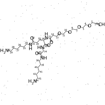 C#CCOCCOCCOCCOCCC(=O)N[C@H](CCC(=O)NCCCCCCN)C(=O)NCC(=O)NCCCCCCN